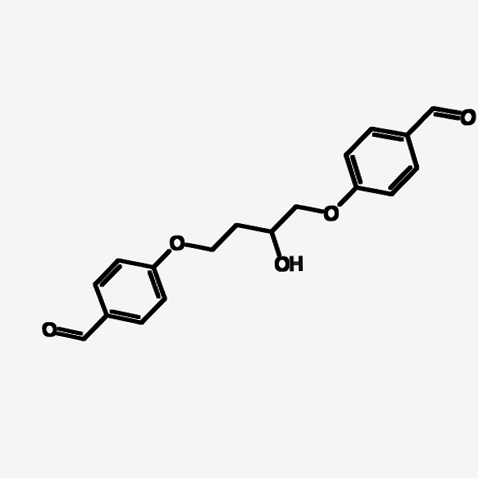 O=Cc1ccc(OCCC(O)COc2ccc(C=O)cc2)cc1